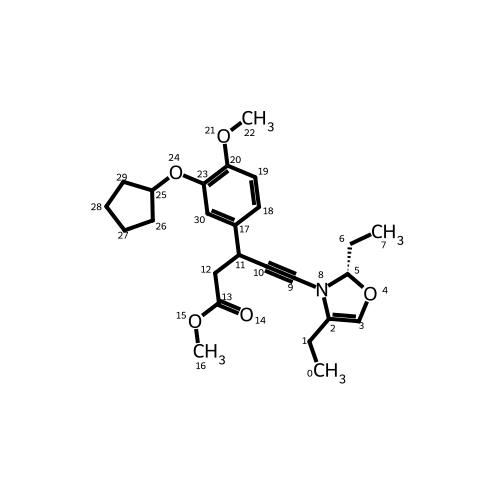 CCC1=CO[C@@H](CC)N1C#CC(CC(=O)OC)c1ccc(OC)c(OC2CCCC2)c1